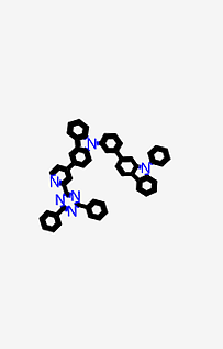 C1=CC2c3ccccc3N(c3ccccc3)C2C=C1c1cccc(-n2c3ccccc3c3cc(-c4ccnc(-c5nc(-c6ccccc6)nc(-c6ccccc6)n5)c4)ccc32)c1